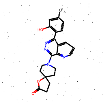 O=C1CCC2(CCN(c3nnc(-c4ccc(C(F)(F)F)cc4O)c4cccnc34)CC2)O1